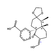 C[C@H]1[C@@H]2CC/C(=C/O)C(=O)[C@@]2(c2cccc(C(=O)O)c2)CCC12OCCO2